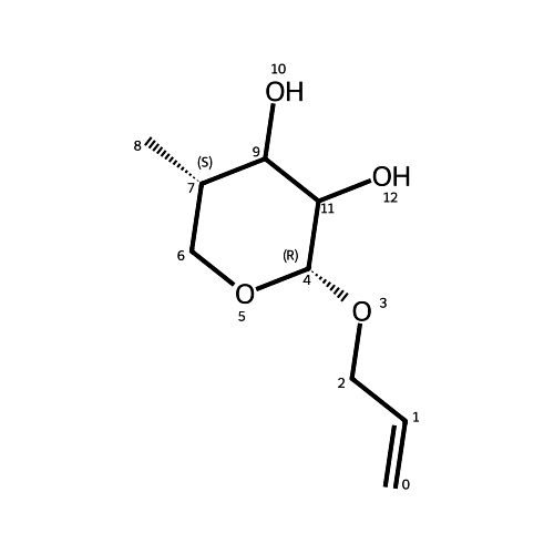 C=CCO[C@@H]1OC[C@H](C)C(O)C1O